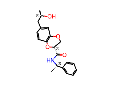 C[C@H](NC(=O)[C@H]1COc2cc(C[C@@H](C)O)ccc2O1)c1ccccc1